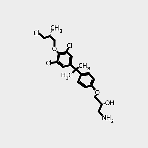 C[C@@H](CCl)COc1c(Cl)cc(C(C)(C)c2ccc(OC[C@H](O)CN)cc2)cc1Cl